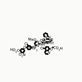 CCS(=O)(=O)c1nc2ccccn2c1S(=O)(=O)NC(=O)Nc1nc(OC)cc(OC)n1.O=C(O)COc1ccc(Cl)c2cccnc12.O=C(O)c1cc(Oc2ccc(C(F)(F)F)cc2Cl)ccc1[N+](=O)[O-]